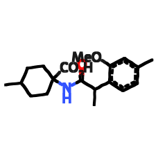 COc1cc(C)ccc1C(C)C(=O)NC1(C(=O)O)CCC(C)CC1